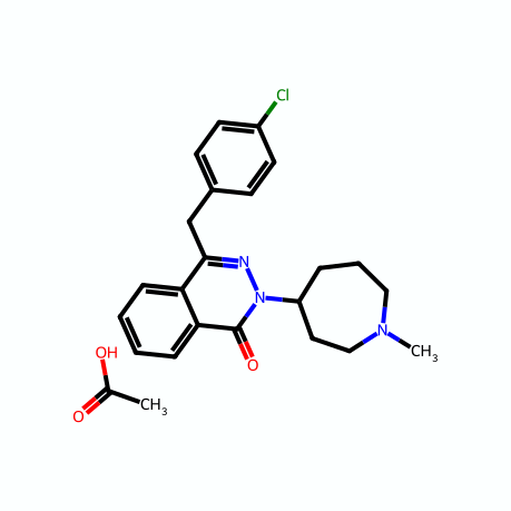 CC(=O)O.CN1CCCC(n2nc(Cc3ccc(Cl)cc3)c3ccccc3c2=O)CC1